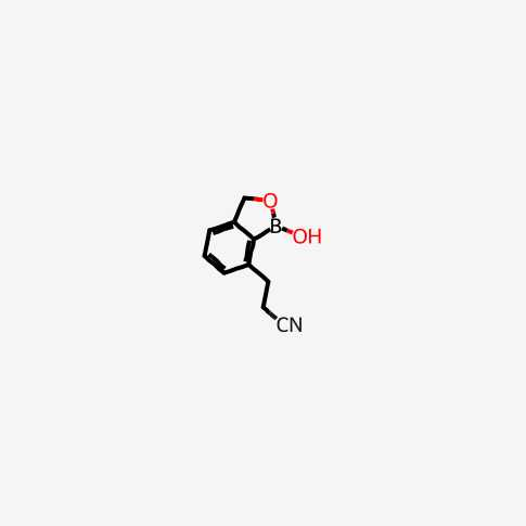 N#CCCc1cccc2c1B(O)OC2